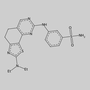 CCN(CC)c1nc2c(s1)-c1nc(Nc3cccc(S(N)(=O)=O)c3)ncc1CC2